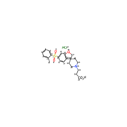 Cc1ccccc1S(=O)(=O)c1ccc2c(c1)OCC21CCN(CCC(=O)O)CC1.Cl